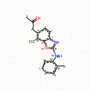 CC(=O)Cc1ccc2nc(Nc3ccccc3C)oc2c1Cl